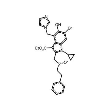 CCOC(=O)c1c(C[S+]([O-])CCc2ccccc2)n(C2CC2)c2cc(Br)c(O)c(Cn3ccnc3)c12